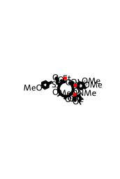 CC[C@H]1OC(=O)[C@H](C)[C@@H](O[C@H]2C[C@@](C)(OC)[C@@H](OC)[C@H](C)O2)[C@H](C)[C@@H](O[C@@H]2O[C@H](C)C[C@H](NC)[C@H]2OC)[C@](C)(OC)C[C@@H](C)C(=O)[C@H](C)C2C(SCc3ccc(OC)cc3)C(=O)O[C@@]21C